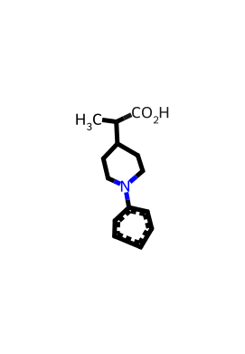 CC(C(=O)O)C1CCN(c2ccccc2)CC1